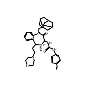 O=C(Nc1ccc(F)cc1)NC1C(=O)N(CC23CC4CC(CC(C4)C2)C3)c2ccccc2C(CCN2CCOCC2)[NH+]1[O-]